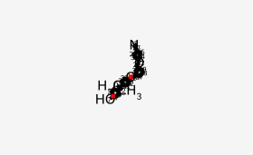 CC(C)(c1ccc(O)cc1)c1ccc(OCc2cccc(COc3ccc(C#N)cc3)c2)cc1